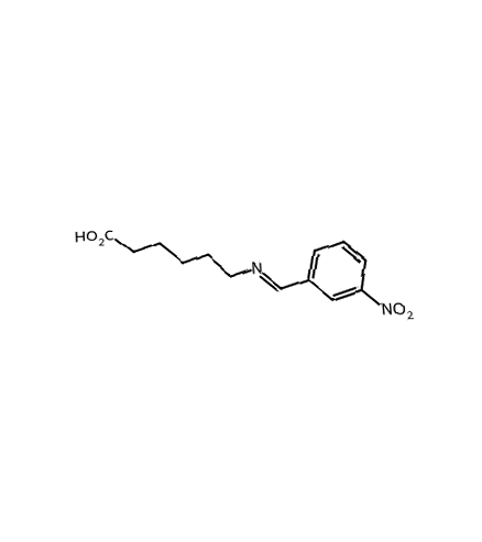 O=C(O)CCCCCN=Cc1cccc([N+](=O)[O-])c1